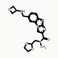 CN(CC1OCCO1)C(=O)c1cn2c(nc3ccc(CNC4COC4)cc32)s1